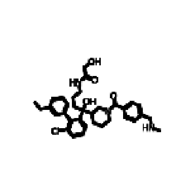 CCc1cccc(-c2c(Cl)cccc2C(O)(CCCNC(=O)CO)C2CCCN(C(=O)c3ccc(CNC)cc3)C2)c1